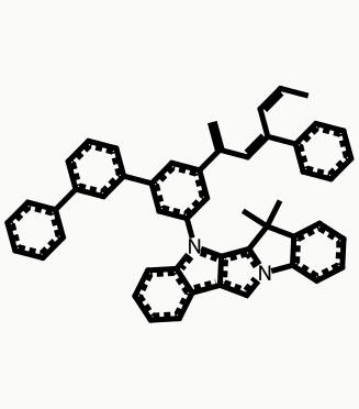 C=C(/C=C(\C=C/C)c1ccccc1)c1cc(-c2cccc(-c3ccccc3)c2)cc(-n2c3ccccc3c3cn4c(c32)C(C)(C)c2ccccc2-4)c1